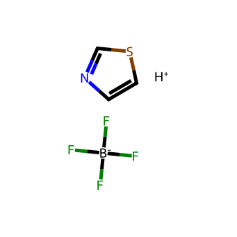 F[B-](F)(F)F.[H+].c1cscn1